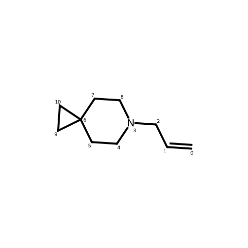 C=CCN1CCC2(CC1)CC2